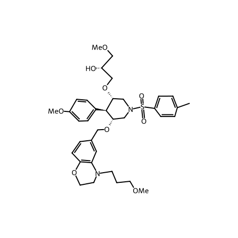 COCCCN1CCOc2ccc(CO[C@H]3CN(S(=O)(=O)c4ccc(C)cc4)C[C@@H](OC[C@H](O)COC)[C@@H]3c3ccc(OC)cc3)cc21